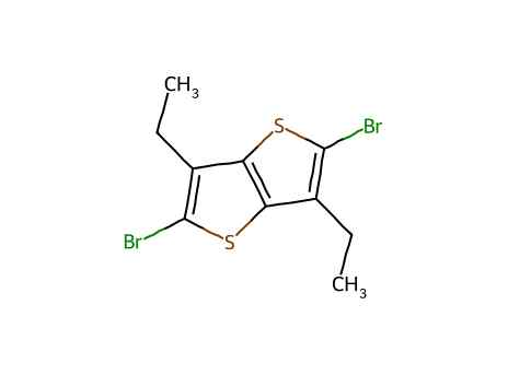 CCc1c(Br)sc2c(CC)c(Br)sc12